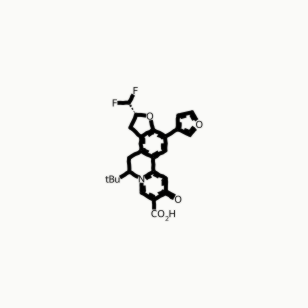 CC(C)(C)C1Cc2c(cc(-c3ccoc3)c3c2C[C@H](C(F)F)O3)-c2cc(=O)c(C(=O)O)cn21